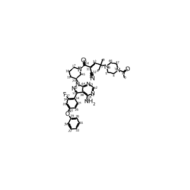 CC(=O)N1CCN(C(C)(C)C=C(C#N)C(=O)N2CCCC(n3nc(-c4ccc(Oc5ccccc5)cc4F)c4c(N)ncnc43)C2)CC1